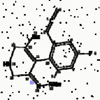 C=C=Cc1cc(F)cc(C)c1C1=C(C(C)CC)CNC/C1=N/NC